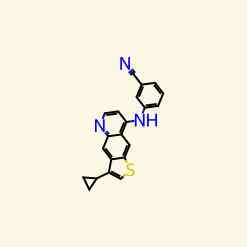 N#Cc1cccc(Nc2ccnc3cc4c(C5CC5)csc4cc23)c1